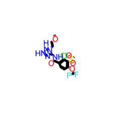 COCCN1NNN=C1NC(=O)c1ccc(OC(F)F)c(S(C)(=O)=O)c1Cl